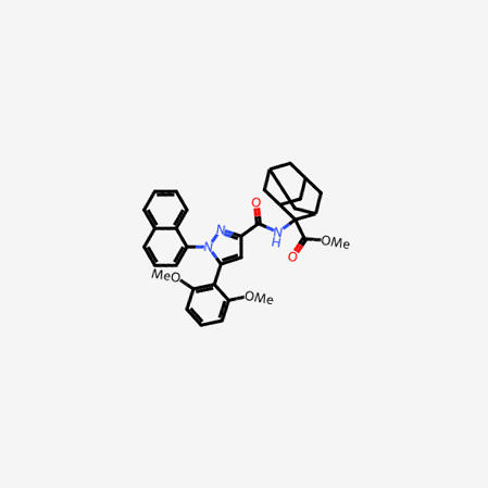 COC(=O)C1(NC(=O)c2cc(-c3c(OC)cccc3OC)n(-c3cccc4ccccc34)n2)C2CC3CC(C2)CC1C3